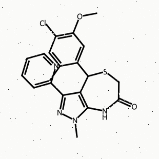 COc1cc(C2SCC(=O)Nc3c2c(-c2ccccn2)nn3C)c(C)cc1Cl